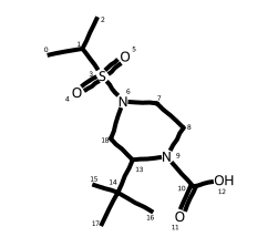 CC(C)S(=O)(=O)N1CCN(C(=O)O)C(C(C)(C)C)C1